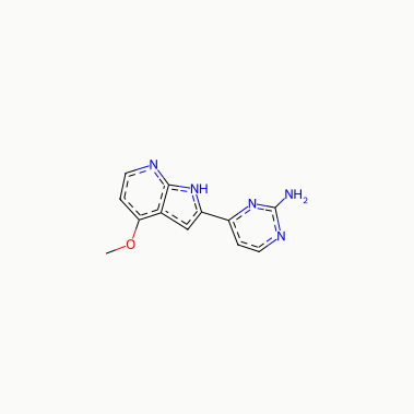 COc1ccnc2[nH]c(-c3ccnc(N)n3)cc12